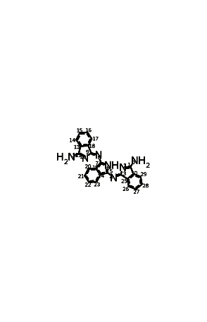 NC1=N/C(=N\c2[nH]c(/N=C3\N=C(N)c4ccccc43)c3ccccc23)c2ccccc21